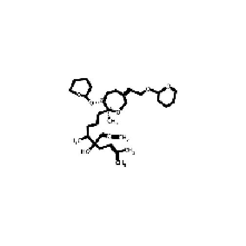 C=C=CC(O)(CC=C(C)C)C(C)CCC[C@]1(C)OCC(=CCOC2CCCCO2)CC[C@H]1OC1CCCCO1